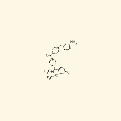 CN(C(c1ccc(Cl)cc1)C1CCN(C(=O)C2CCN(Cc3ccnc(N)c3)CC2)CC1)[S+]([O-])C(F)(F)F